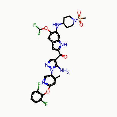 Cc1cc(Oc2c(F)cccc2F)ncc1-n1ncc(C(=O)c2cc3cc(OC(F)F)c(NC4CCN(S(C)(=O)=O)CC4)cc3[nH]2)c1N